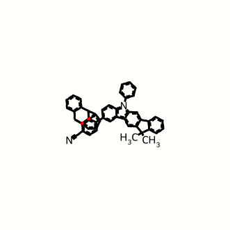 CC1(C)c2ccccc2-c2cc3c(cc21)c1cc(-c2ccc(C#N)c4c2C25c6ccccc6C4c4cccc2c45)ccc1n3-c1ccccc1